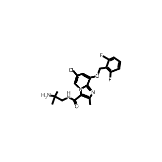 Cc1nc2c(OCc3c(F)cccc3F)cc(Cl)cn2c1C(=O)NCC(C)(C)N